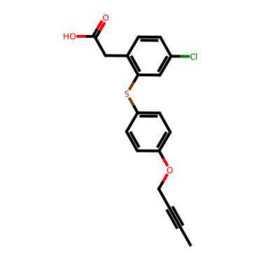 CC#CCOc1ccc(Sc2cc(Cl)ccc2CC(=O)O)cc1